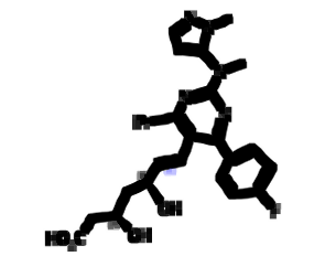 CC(C)c1nc(N(C)c2ccnn2C)nc(-c2ccc(F)cc2)c1/C=C/[C@@H](O)C[C@@H](O)CC(=O)O